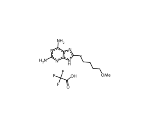 COCCCC[C]c1nc2c(N)nc(N)nc2[nH]1.O=C(O)C(F)(F)F